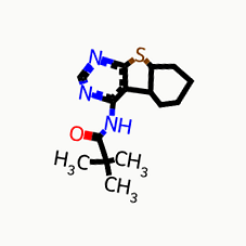 CC(C)(C)C(=O)Nc1ncnc2c1C1CCCCC1S2